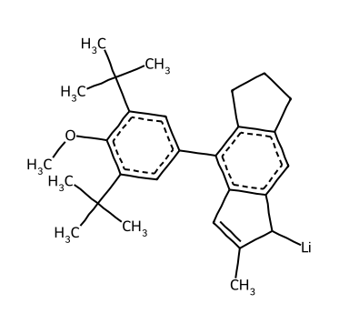 [Li][CH]1C(C)=Cc2c1cc1c(c2-c2cc(C(C)(C)C)c(OC)c(C(C)(C)C)c2)CCC1